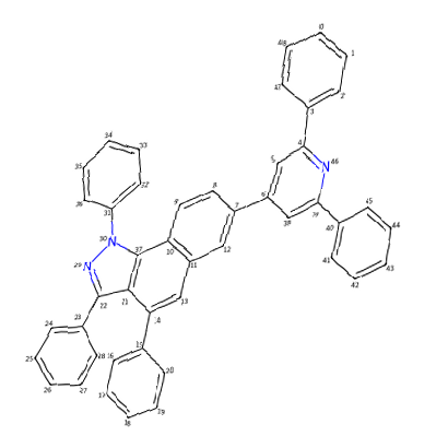 c1ccc(-c2cc(-c3ccc4c(c3)cc(-c3ccccc3)c3c(-c5ccccc5)nn(-c5ccccc5)c34)cc(-c3ccccc3)n2)cc1